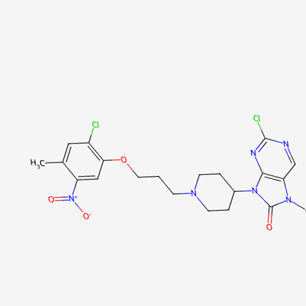 Cc1cc(Cl)c(OCCCN2CCC(n3c(=O)n(C)c4cnc(Cl)nc43)CC2)cc1[N+](=O)[O-]